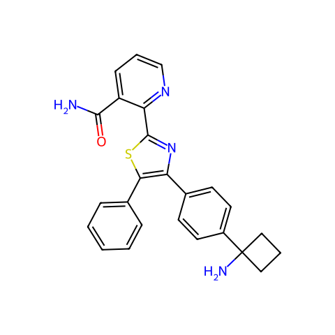 NC(=O)c1cccnc1-c1nc(-c2ccc(C3(N)CCC3)cc2)c(-c2ccccc2)s1